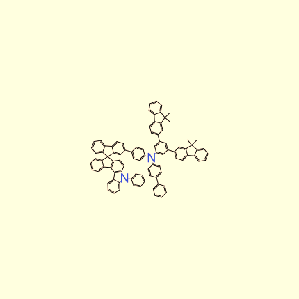 CC1(C)c2ccccc2-c2ccc(-c3cc(-c4ccc5c(c4)C(C)(C)c4ccccc4-5)cc(N(c4ccc(-c5ccccc5)cc4)c4ccc(-c5ccc6c(c5)C5(c7ccccc7-6)c6ccccc6-c6c5ccc5c6c6ccccc6n5-c5ccccc5)cc4)c3)cc21